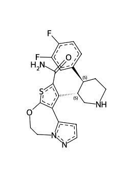 NC(=O)c1sc2c(c1[C@H]1CNCC[C@@H]1c1ccc(F)c(F)c1)-c1ccnn1CCO2